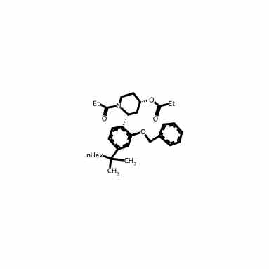 CCCCCCC(C)(C)c1ccc([C@H]2C[C@@H](OC(=O)CC)CCN2C(=O)CC)c(OCc2ccccc2)c1